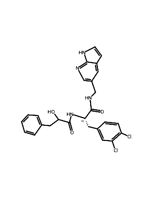 O=C(N[C@@H](Cc1ccc(Cl)c(Cl)c1)C(=O)NCc1cnc2[nH]ccc2c1)C(O)Cc1ccccc1